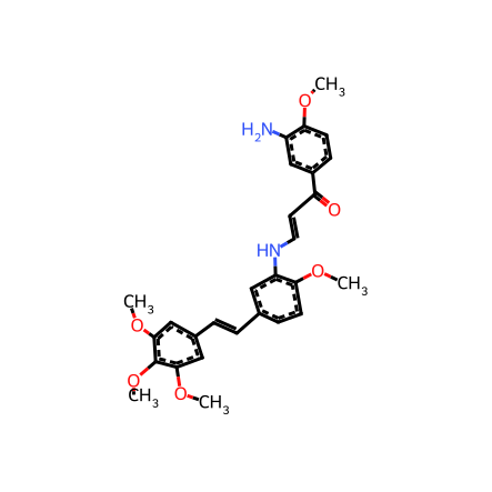 COc1ccc(C(=O)C=CNc2cc(C=Cc3cc(OC)c(OC)c(OC)c3)ccc2OC)cc1N